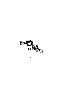 O=c1c[n+](-c2cccc(Br)c2)[n-]o1.[N]